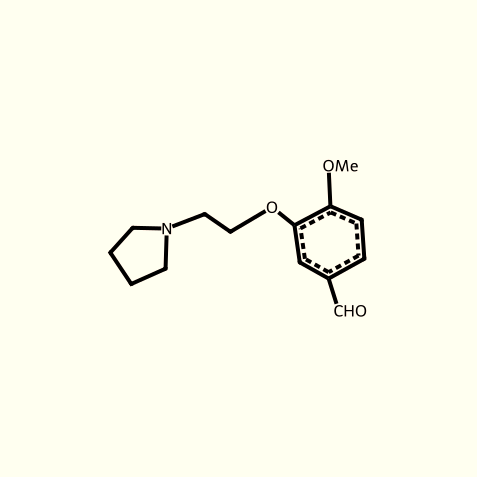 COc1ccc(C=O)cc1OCCN1CCCC1